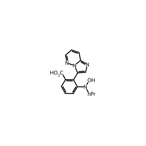 CCCN(O)c1cccc(C(=O)O)c1-c1cnc2cccnn12